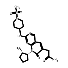 C[C@H]1CCC[C@H]1n1c(=O)c(CC(N)=O)cc2cnc(NC3CCN(S(C)(=O)=O)CC3)nc21